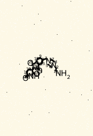 NCCN1CCN(Cc2ccc3c(c2)C(=O)N(C2CCC(=O)NC2=O)C3=O)CC1